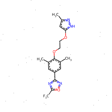 Cc1cc(OCCOc2c(C)cc(-c3noc(C(F)(F)F)n3)cc2C)[nH]n1